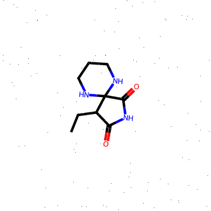 CCC1C(=O)NC(=O)C12NCCCN2